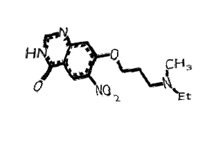 CCN(C)CCCOc1cc2nc[nH]c(=O)c2cc1[N+](=O)[O-]